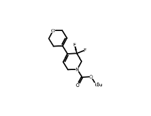 CC(C)(C)OC(=O)N1CC=C(C2=CCOCC2)C(F)(F)C1